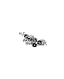 COc1cccc(OC)c1-n1c(NS(=O)(=O)[C@@H](C)[C@@H](OC(C)C)c2ncc(C)cn2)nnc1[C@@H]1COC(C)(C)C1